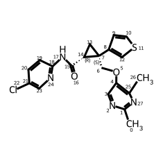 Cc1ncc(OC[C@@]2(c3ccsc3)C[C@H]2C(=O)Nc2ccc(Cl)cn2)c(C)n1